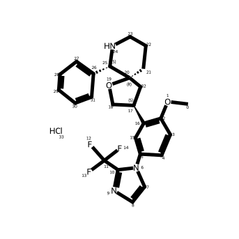 COc1ccc(-n2ccnc2C(F)(F)F)cc1[C@H]1CO[C@]2(CCCN[C@H]2c2ccccc2)C1.Cl